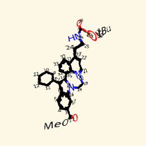 COC(=O)c1ccc2c(C3CCCCC3)c3n(c2c1)CCN1CCC(CCNC(=O)OC(C)(C)C)c2cccc-3c21